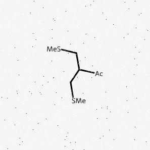 CSCC(CSC)C(C)=O